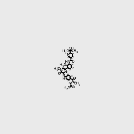 Cc1c(NC(=O)c2ccc(C(C)(C)C)nc2)cccc1-c1cn(C)c(=O)c(Nc2ccc(C(=O)N(C)CC(N)=O)cc2)n1